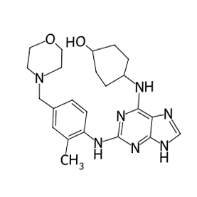 Cc1cc(CN2CCOCC2)ccc1Nc1nc(NC2CCC(O)CC2)c2nc[nH]c2n1